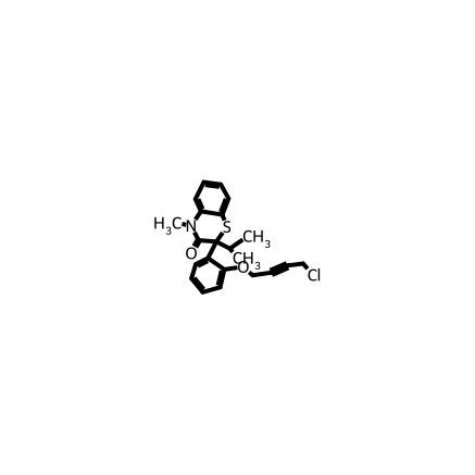 CC(C)C1(c2ccccc2OCC#CCCl)Sc2ccccc2N(C)C1=O